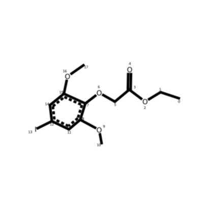 CCOC(=O)COc1c(OC)cc(I)cc1OC